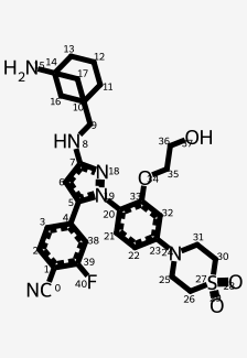 N#Cc1ccc(-c2cc(NCC34CCCC(N)(C3)C4)nn2-c2ccc(N3CCS(=O)(=O)CC3)cc2OCCO)cc1F